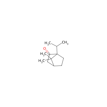 CC(C)C12CCC(CC1=O)C2(C)C